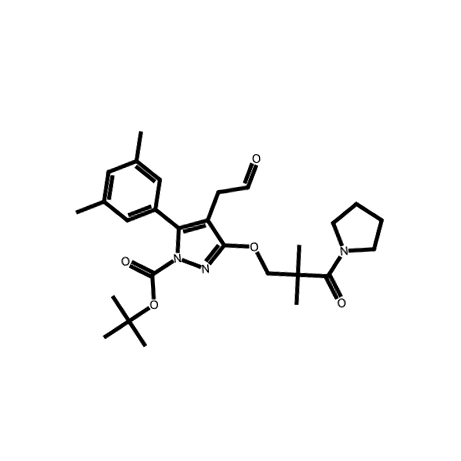 Cc1cc(C)cc(-c2c(CC=O)c(OCC(C)(C)C(=O)N3CCCC3)nn2C(=O)OC(C)(C)C)c1